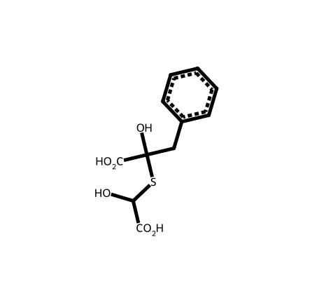 O=C(O)C(O)SC(O)(Cc1ccccc1)C(=O)O